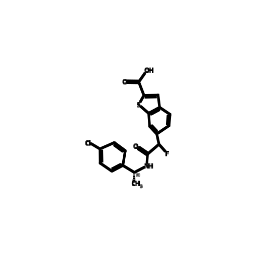 C[C@@H](NC(=O)C(F)c1ccc2cc(C(=O)O)sc2c1)c1ccc(Cl)cc1